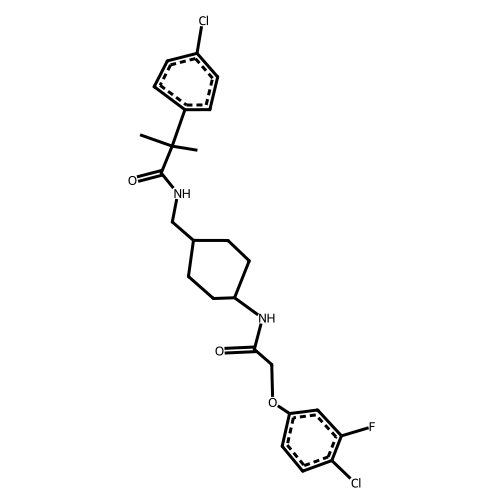 CC(C)(C(=O)NCC1CCC(NC(=O)COc2ccc(Cl)c(F)c2)CC1)c1ccc(Cl)cc1